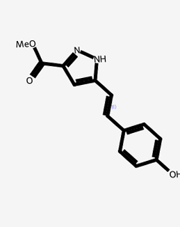 COC(=O)c1cc(/C=C/c2ccc(O)cc2)[nH]n1